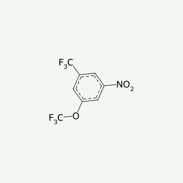 O=[N+]([O-])c1cc(OC(F)(F)F)cc(C(F)(F)F)c1